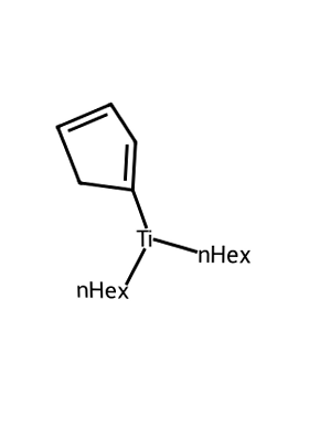 CCCCC[CH2][Ti]([CH2]CCCCC)[C]1=CC=CC1